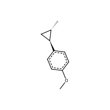 COc1ccc([C@H]2C[C@@H]2C)cc1